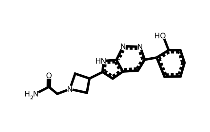 NC(=O)CN1CC(c2cc3cc(-c4ccccc4O)nnc3[nH]2)C1